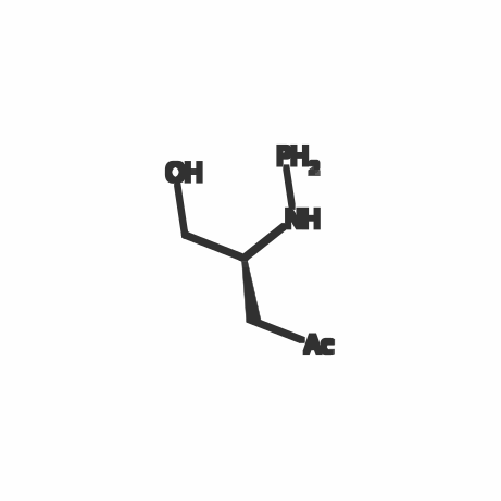 CC(=O)C[C@@H](CO)NP